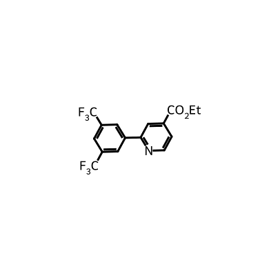 CCOC(=O)c1ccnc(-c2cc(C(F)(F)F)cc(C(F)(F)F)c2)c1